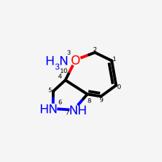 C1=CCOC2CNNC2=C1.N